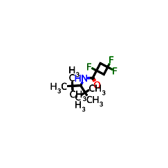 CC(C)(C)C(NC(=O)C1(F)CC(F)(F)C1)C(C)(C)C